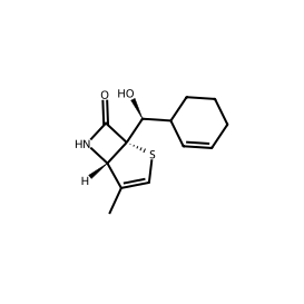 CC1=CS[C@@]2([C@@H](O)C3C=CCCC3)C(=O)N[C@@H]12